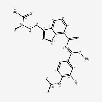 C=C(/N=C(\ON)c1ccc(OC(C)C)c(Cl)c1)c1cccc2c(CN[C@@H](C)C(=O)O)c[nH]c12